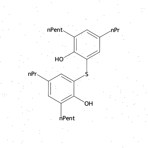 CCCCCc1cc(CCC)cc(Sc2cc(CCC)cc(CCCCC)c2O)c1O